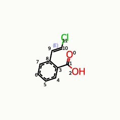 O=C(O)c1ccccc1/C=C/Cl